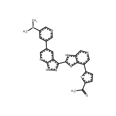 CC(=O)c1ccc(-c2cncc3[nH]c(-c4n[nH]c5ncc(-c6cncc(N(C)C)c6)cc45)nc23)s1